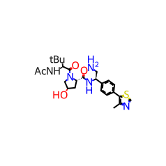 CC(=O)N[C@H](C(=O)N1C[C@H](O)C[C@H]1C(=O)N[C@@H](CN)c1ccc(-c2scnc2C)cc1)C(C)(C)C